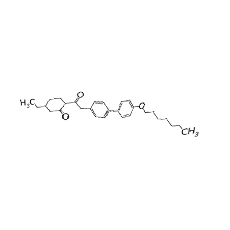 CCCCCCCOc1ccc(-c2ccc(CC(=O)C3CCC(CC)CC3=O)cc2)cc1